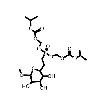 COC1OC(CCP(=O)(OCOC(=O)OC(C)C)OCOC(=O)OC(C)C)C(O)C(O)C1O